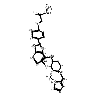 CNC(=O)COc1ccc(-c2nc3c(NC4CCN(Cc5cccn5C)CC4)c(Cl)cnc3[nH]2)cc1